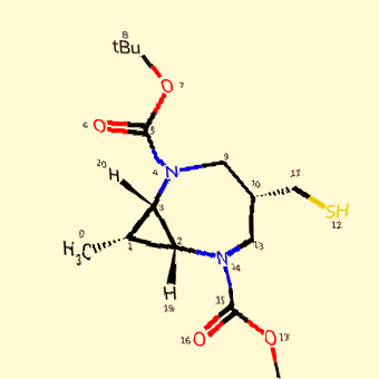 C[C@H]1[C@@H]2[C@H]1N(C(=O)OC(C)(C)C)C[C@H](CS)CN2C(=O)OC(C)(C)C